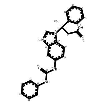 C[C@@](CC(=O)O)(c1ccccc1)n1cnc2cc(NC(=O)Nc3ccccc3)ccc21